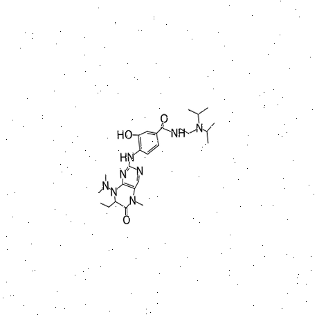 CCC1C(=O)N(C)c2cnc(Nc3ccc(C(=O)NCCN(C(C)C)C(C)C)cc3O)nc2N1N(C)C